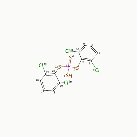 S=P(S)(Sc1c(Cl)cccc1Cl)Sc1c(Cl)cccc1Cl